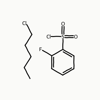 CCCCCCl.O=S(=O)(Cl)c1ccccc1F